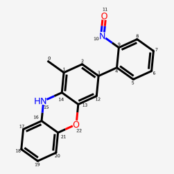 Cc1cc(-c2ccccc2N=O)cc2c1Nc1ccccc1O2